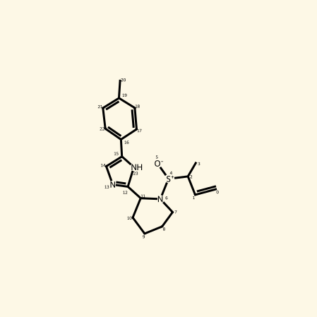 C=CC(C)[S+]([O-])N1CCCCC1c1ncc(-c2ccc(C)cc2)[nH]1